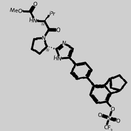 COC(=O)N[C@H](C(=O)N1CCC[C@H]1c1ncc(-c2ccc(-c3ccc(OS(=O)(=O)C(F)(F)F)c4c3C3CCC4C3)cc2)[nH]1)C(C)C